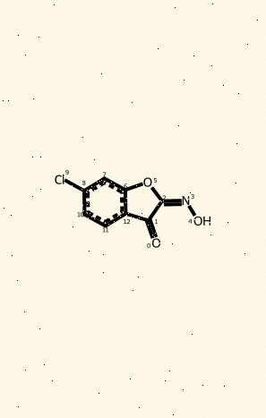 O=C1C(=NO)Oc2cc(Cl)ccc21